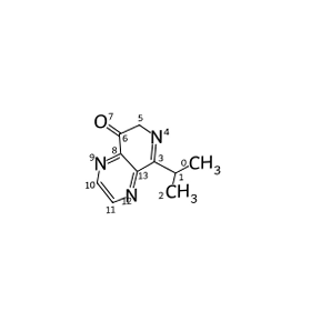 CC(C)C1=NCC(=O)c2nccnc21